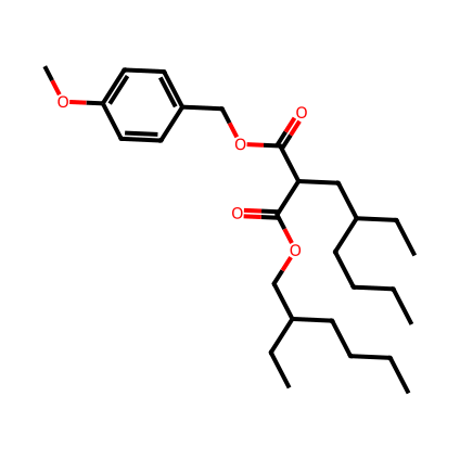 CCCCC(CC)COC(=O)C(CC(CC)CCCC)C(=O)OCc1ccc(OC)cc1